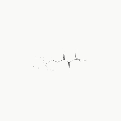 C=C(C)C(=O)C(=O)CC[Si](OC(C)=O)(OC(C)=O)OC(C)=O